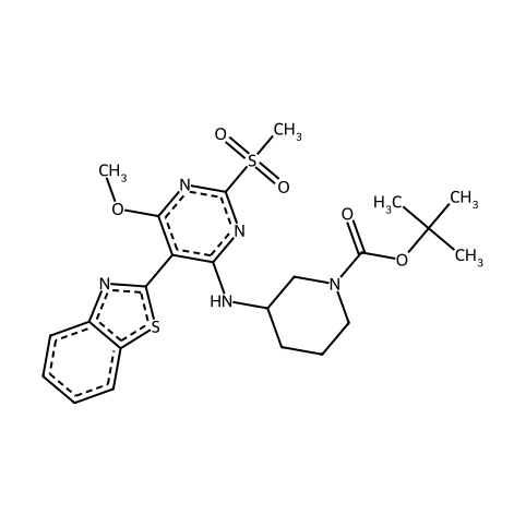 COc1nc(S(C)(=O)=O)nc(NC2CCCN(C(=O)OC(C)(C)C)C2)c1-c1nc2ccccc2s1